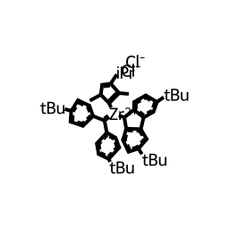 CC1=[C]([Zr+2](=[C](c2ccc(C(C)(C)C)cc2)c2ccc(C(C)(C)C)cc2)[CH]2c3ccc(C(C)(C)C)cc3-c3cc(C(C)(C)C)ccc32)C(C)C=C1C(C)C.[Cl-].[Cl-]